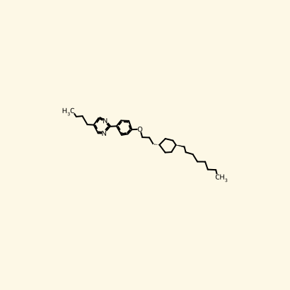 CCCCCCCC[C@H]1CC[C@H](CCCOc2ccc(-c3ncc(CCCC)cn3)cc2)CC1